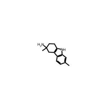 Cc1ccc2c3c([nH]c2c1)CCC(C)(N)C3